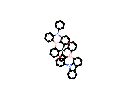 c1ccc(N2c3ccccc3B3c4ccccc4[Si]4(c5ccccc5B(c5cccc6c7ccccc7n(-c7ccccc7)c56)c5ccccc54)c4cccc2c43)cc1